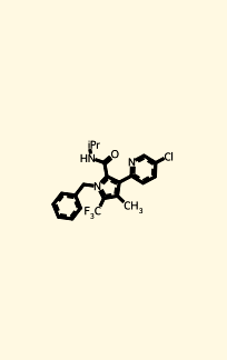 Cc1c(-c2ccc(Cl)cn2)c(C(=O)NC(C)C)n(Cc2ccccc2)c1C(F)(F)F